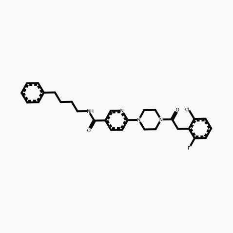 O=C(NCCCCc1ccccc1)c1ccc(N2CCN(C(=O)Cc3c(F)cccc3Cl)CC2)nc1